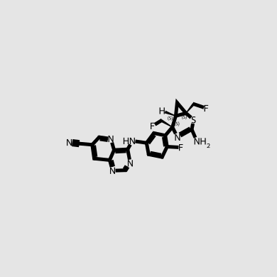 N#Cc1cnc2c(Nc3ccc(F)c([C@@]4(CF)N=C(N)S[C@@]5(CF)C[C@H]54)c3)ncnc2c1